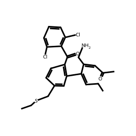 CC/C=C(\C(=C/C(C)=O)CN)c1cc(CSCC)ccc1C(=O)c1c(Cl)cccc1Cl